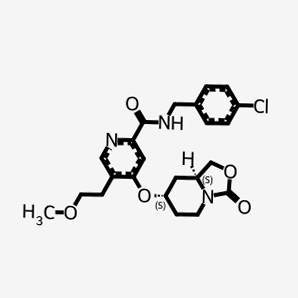 COCCc1cnc(C(=O)NCc2ccc(Cl)cc2)cc1O[C@H]1CCN2C(=O)OC[C@@H]2C1